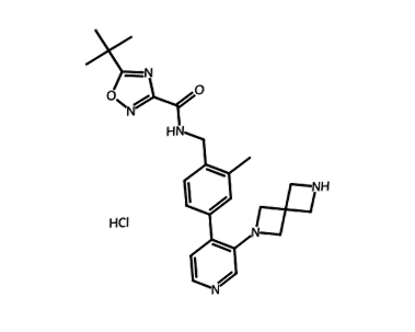 Cc1cc(-c2ccncc2N2CC3(CNC3)C2)ccc1CNC(=O)c1noc(C(C)(C)C)n1.Cl